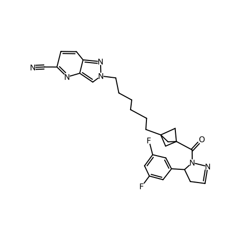 N#Cc1ccc2nn(CCCCCCC34CC(C(=O)N5N=CCC5c5cc(F)cc(F)c5)(C3)C4)cc2n1